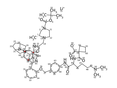 C[C@@H]1CN(C(=O)OC(C)(C)C)CCN1CCOc1cc(N2C3CCC2CN(c2cc(-c4ccccc4OCc4ccc(NC(=O)C(CCCCN(C)C)NC(=O)C5(C(=O)[O-])CCC5)cc4)nnc2N)C3)ccn1.[Li+]